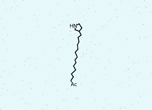 CC(=O)CCCCCCCCCCCCCCC1CCNC1